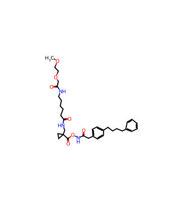 COCCOCC(=O)NCCCCCC(=O)NCC1(C(=O)ONC(=O)Cc2ccc(CCCCc3ccccc3)cc2)CC1